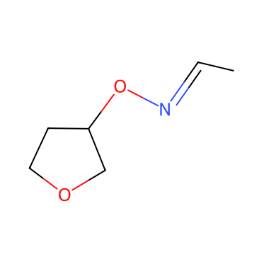 C/C=N/OC1CCOC1